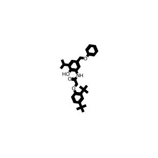 CC(C)c1cc(COc2ccccc2)cc(NC(=O)COc2ccc(C(C)(C)C)cc2C(C)(C)C)c1O